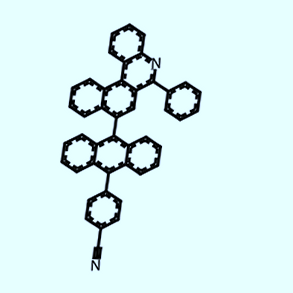 N#Cc1ccc(-c2c3ccccc3c(-c3cc4c(-c5ccccc5)nc5ccccc5c4c4ccccc34)c3ccccc23)cc1